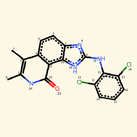 CC1=C(C)c2ccc3nc(Nc4c(Cl)cccc4Cl)[nH]c3c2C(=O)[N]1